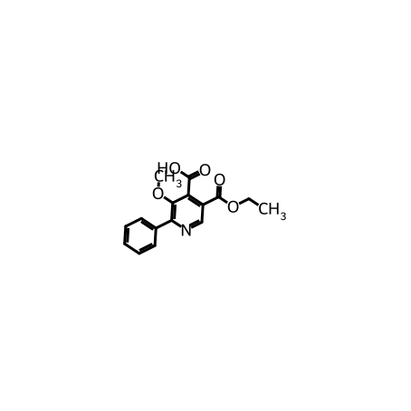 CCOC(=O)c1cnc(-c2ccccc2)c(OC)c1C(=O)O